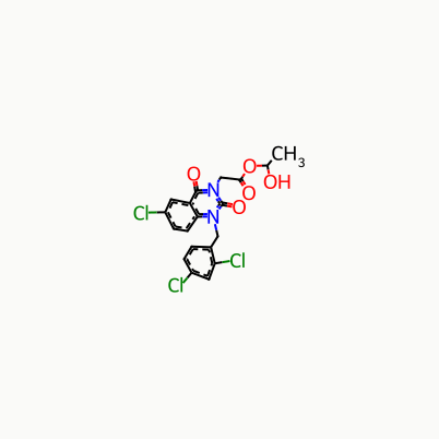 CC(O)OC(=O)Cn1c(=O)c2cc(Cl)ccc2n(Cc2ccc(Cl)cc2Cl)c1=O